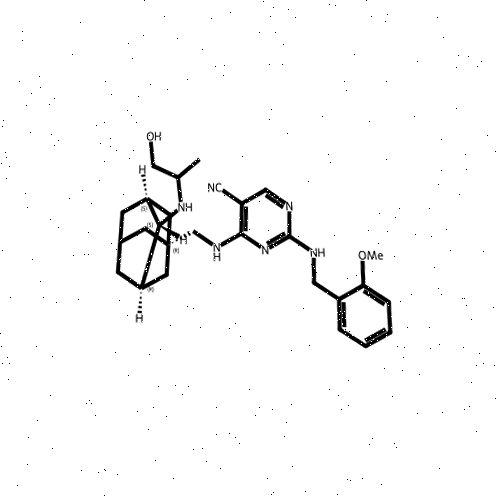 COc1ccccc1CNc1ncc(C#N)c(NC[C@@]23CC4C[C@H](C2)[C@@H](NC(C)CO)[C@@H](C4)C3)n1